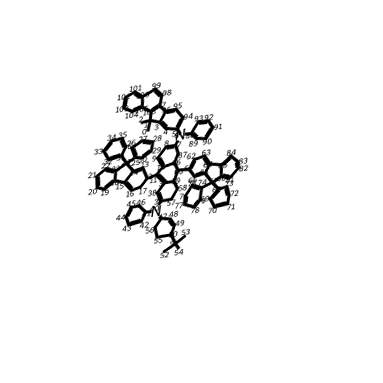 CC1(C)c2cc(N(C3=CC=C4C(C5C=C6C(=CC5)c5ccccc5C6(c5ccccc5)c5ccccc5)=C5C=C(N(C6C=CC=CC6)C6C=CC(C(C)(C)C)CC6)CCC5C(c5ccc6c(c5)C(c5ccccc5)(c5ccccc5)c5ccccc5-6)C4C3)c3ccccc3)ccc2-c2ccc3ccccc3c21